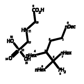 CCCCCCCCCCCCC(CCCCCC)C(P)(CCCCCC)CCCCCC.O=C(O)CNCP(=O)(O)O